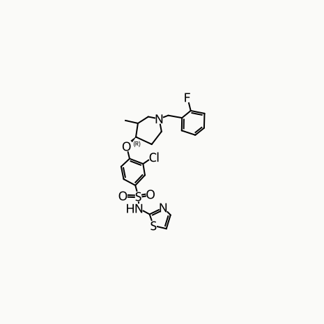 CC1CN(Cc2ccccc2F)CC[C@H]1Oc1ccc(S(=O)(=O)Nc2nccs2)cc1Cl